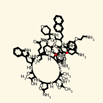 CC(=O)NC1C(=O)NC(CC(N)=O)C(=O)NC(C(C)O)C(=O)NC(Cc2c[nH]c3ccccc23)C(=O)NC(CCC(N)=O)C(=O)NC(C(=O)NC(Cc2ccc(OCCN)cc2)C(=O)NC(Cc2ccc3ccccc3c2)C(=O)NC2(C(=O)NC(CCCCN)C(=O)NC(CC(N)=O)C(=O)NC(CC(N)=O)C(N)=O)CCOCC2)C(C)(C)SSC1(C)C